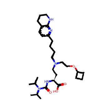 CC(C)N(C(=O)N[C@@H](CCN(CCCCc1ccc2c(n1)NCCC2)CCOC1CCC1)C(=O)O)C(C)C